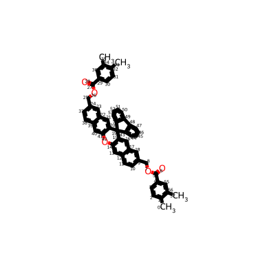 Cc1ccc(C(=O)OCc2ccc3cc4c(cc3c2)C2(c3cc5cc(COC(=O)c6ccc(C)c(C)c6)ccc5cc3O4)c3ccccc3-c3ccccc32)cc1C